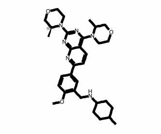 COc1ccc(-c2ccc3c(N4CCOCC4C)nc(N4CCOC[C@@H]4C)nc3n2)cc1CNC1CCC(C)CC1